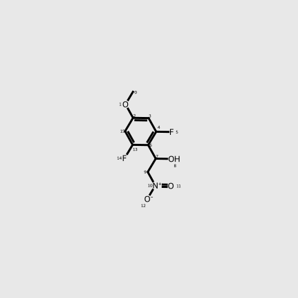 COc1cc(F)c(C(O)C[N+](=O)[O-])c(F)c1